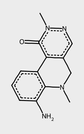 CN1Cc2cnn(C)c(=O)c2-c2cccc(N)c21